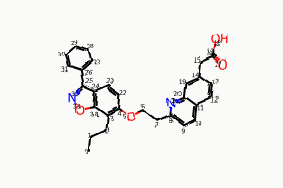 CCCc1c(OCCc2ccc3ccc(CC(=O)O)cc3n2)ccc2c(-c3ccccc3)noc12